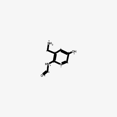 NCc1cc(O)cnc1NC=O